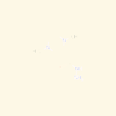 CN1CCN(C)C(CC(=O)NN)C1